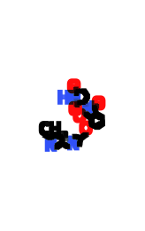 C=Cc1ccc(CN2CC(COc3cccc4c3C(=O)N(C3CCC(=O)NC3=O)C4=O)C2)cn1